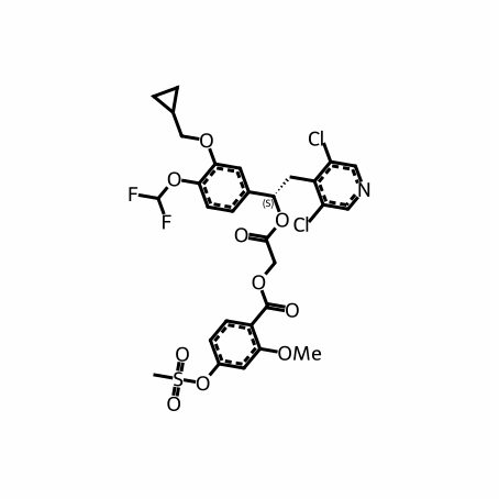 COc1cc(OS(C)(=O)=O)ccc1C(=O)OCC(=O)O[C@@H](Cc1c(Cl)cncc1Cl)c1ccc(OC(F)F)c(OCC2CC2)c1